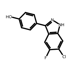 Oc1ccc(-c2n[nH]c3cc(Cl)c(F)cc23)cc1